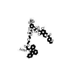 CC(=O)N[C@@H](CSC(c1ccccc1)(c1ccccc1)c1ccccc1)C(=O)OCCOCCOC(=O)OC(C)OC(=O)[C@H](Cc1cccc(S(C)(=O)=O)c1)NC(=O)c1c(Cl)cc2c(c1Cl)CCN(C(=O)c1ccc3ccoc3c1)C2